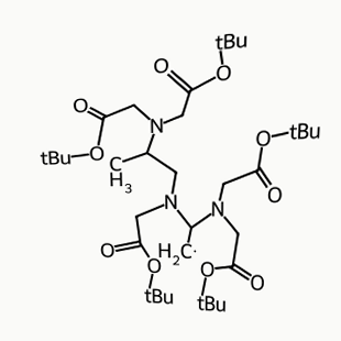 [CH2]C(N(CC(=O)OC(C)(C)C)CC(=O)OC(C)(C)C)N(CC(=O)OC(C)(C)C)CC(C)N(CC(=O)OC(C)(C)C)CC(=O)OC(C)(C)C